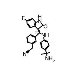 CC(C)(N)c1ccc(N/C(=C2\C(=O)Nc3cc(F)ccc32)c2cccc(CC#N)c2)cc1